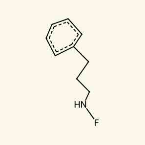 FNCCCc1ccccc1